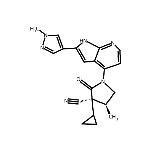 C[C@@H]1CN(c2ccnc3[nH]c(-c4cnn(C)c4)cc23)C(=O)[C@]1(C#N)C1CC1